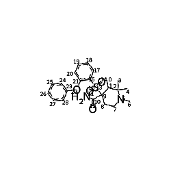 CC1C(C)(C)N(C)CCC1(C(N)=O)S(=O)(=O)c1ccccc1Oc1ccccc1